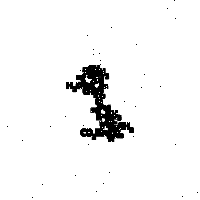 CCOC(=O)C[C@@](C)(c1ccc(OCc2ccc3c(c2)C(C)(C)CCC3(C)C)cc1)c1cncn1C